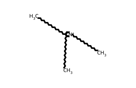 CCCCCCCCCCCCCCCCc1cc[n+](CCCCCCCCCCCCCCCC)cc1CCCCCCCCCCCCCCCC